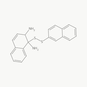 NC1C=Cc2ccccc2C1(N)SSc1ccc2ccccc2c1